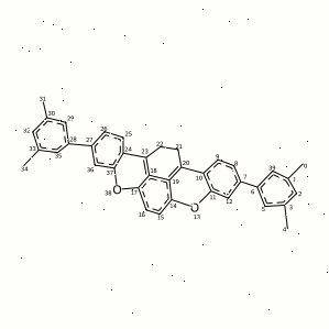 Cc1cc(C)cc(-c2ccc3c(c2)Oc2ccc4c5c2=C3CCC=5c2ccc(-c3cc(C)cc(C)c3)cc2O4)c1